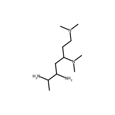 CC(N)C(N)CC(CCN(C)C)N(C)C